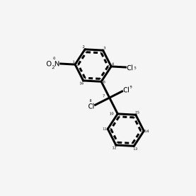 O=[N+]([O-])c1ccc(Cl)c(C(Cl)(Cl)c2ccccc2)c1